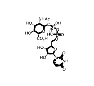 CC(=O)N[C@@H]1C(OP(=O)(O)OP(=O)(O)OC[C@H]2O[C@@H](n3ccc(=O)[nH]c3=O)[C@H](O)[C@@H]2O)O[C@H](C(=O)O)[C@@H](O)[C@@H]1O